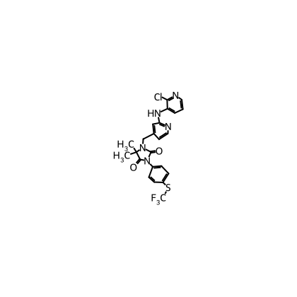 CC1(C)C(=O)N(c2ccc(SC(F)(F)F)cc2)C(=O)N1Cc1ccnc(Nc2cccnc2Cl)c1